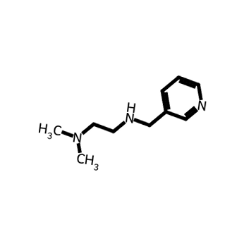 CN(C)CCNCc1cccnc1